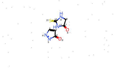 O=C1C=CN=N1.O=C1CNC(=S)N1